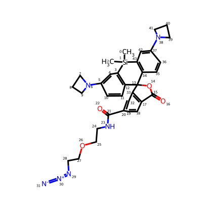 C[Si]1(C)c2cc(N3CCC3)ccc2C2(OC(=O)c3ccc(C(=O)NCCOCCN=[N+]=[N-])cc32)c2ccc(N3CCC3)cc21